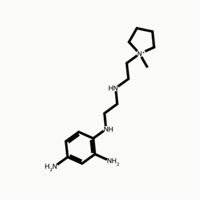 C[N+]1(CCNCCNc2ccc(N)cc2N)CCCC1